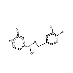 O=c1cc(B(O)OCc2ccc(Cl)c(Cl)c2)cc[nH]1